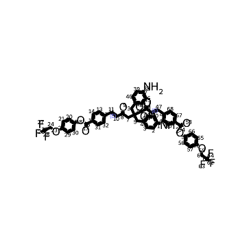 Nc1ccc(CC(CC(=O)/C=C/c2ccc(C(=O)Oc3ccc(OCC(F)(F)F)cc3)cc2)(Cc2ccc(N)cc2)C(O)(O)C(=O)/C=C/c2ccc(C(=O)Oc3ccc(OCC(F)(F)F)cc3)cc2)cc1